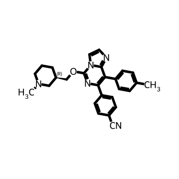 Cc1ccc(-c2c(-c3ccc(C#N)cc3)nc(OC[C@@H]3CCCN(C)C3)n3ccnc23)cc1